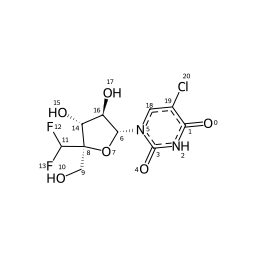 O=c1[nH]c(=O)n([C@@H]2O[C@@](CO)(C(F)F)[C@H](O)[C@H]2O)cc1Cl